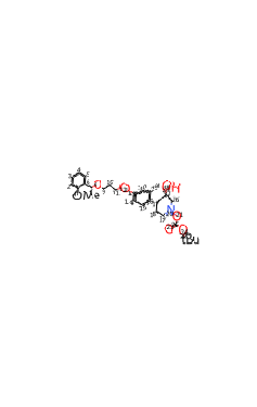 COc1ccccc1COCCCOc1ccc([C@H]2CCN(OC(=O)OC(C)(C)C)C[C@@H]2O)cc1